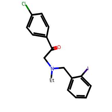 CCN(CC(=O)c1ccc(Cl)cc1)Cc1ccccc1I